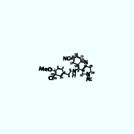 COc1ccc(CCNc2c3c(nc4ccc(C#N)cc24)CCN(C(C)=O)C3)cc1Cl